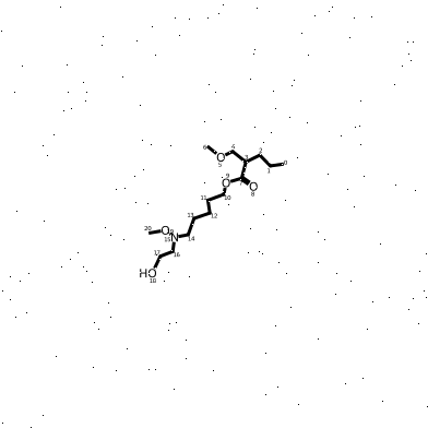 CCCC(COC)C(=O)OCCCCCN(CCO)OC